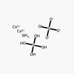 O[Si](O)(O)O.[Ca+2].[Ca+2].[O-][Si]([O-])([O-])[O-].[SiH4]